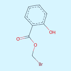 O=C(OCBr)c1ccccc1O